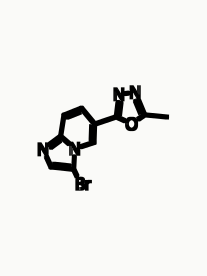 Cc1nnc(-c2ccc3ncc(Br)n3c2)o1